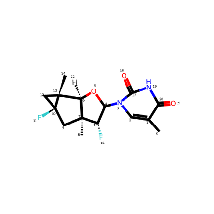 Cc1cn(C2O[C@H]3[C@](C)(C[C@]4(F)C[C@]34C)[C@H]2F)c(=O)[nH]c1=O